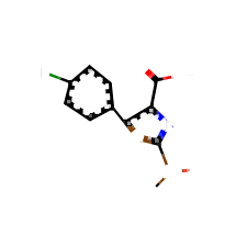 C[S+]([O-])c1nc(C(=O)O)c(-c2ccc(F)cc2)s1